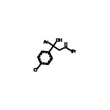 CC(=O)C(O)(CNC(C)C)c1ccc(Cl)cc1